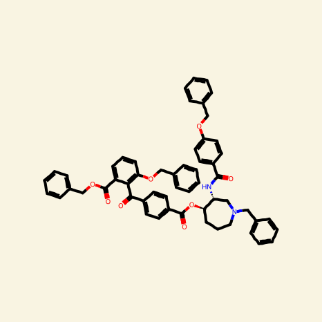 O=C(N[C@@H]1CN(Cc2ccccc2)CCC[C@H]1OC(=O)c1ccc(C(=O)c2c(OCc3ccccc3)cccc2C(=O)OCc2ccccc2)cc1)c1ccc(OCc2ccccc2)cc1